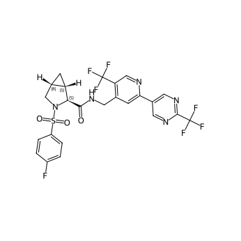 O=C(NCc1cc(-c2cnc(C(F)(F)F)nc2)ncc1C(F)(F)F)[C@@H]1[C@H]2C[C@H]2CN1S(=O)(=O)c1ccc(F)cc1